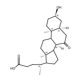 C[C@H](CCC(=O)O)C1CCC2[C@@H]3C(=O)C[C@@H]4C[C@H](O)CC[C@]4(C)C3CC[C@@]21C